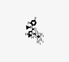 CC(C)(C)OC(=O)N1[C@@H]2C[C@@H]2C[C@H]1C(=O)N(c1ccc(F)cc1F)C1CC1